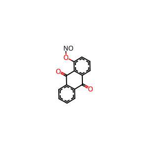 O=NOc1cccc2c1C(=O)c1ccccc1C2=O